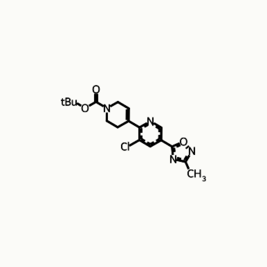 Cc1noc(-c2cnc(C3=CCN(C(=O)OC(C)(C)C)CC3)c(Cl)c2)n1